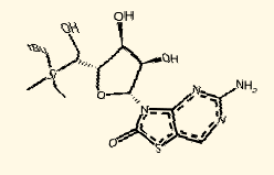 CC(C)(C)[Si](C)(C)C(O)[C@H]1O[C@@H](n2c(=O)sc3cnc(N)nc32)[C@H](O)[C@@H]1O